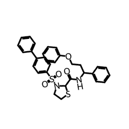 O=C(NC(CCOc1ccccc1)c1ccccc1)C1SCCN1S(=O)(=O)c1ccc(-c2ccccc2)cc1